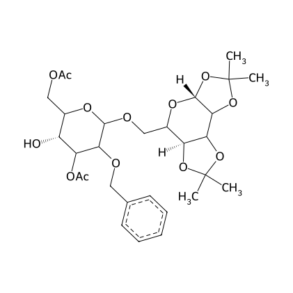 CC(=O)OCC1OC(OCC2O[C@@H]3OC(C)(C)OC3C3OC(C)(C)O[C@@H]23)C(OCc2ccccc2)C(OC(C)=O)[C@@H]1O